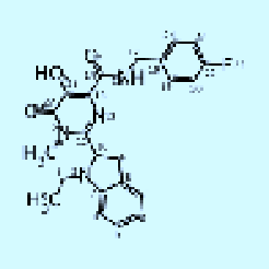 CCN1c2ccccc2CC1c1nc(C(=O)NCc2ccc(F)cc2)c(O)c(=O)n1C